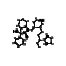 CCC(CCC1CNCCC1COC(=O)C(O)(c1ccccc1)C1CCCCC1)C1OCCO1